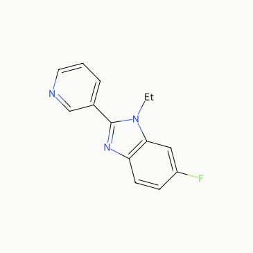 CCn1c(-c2cccnc2)nc2ccc(F)cc21